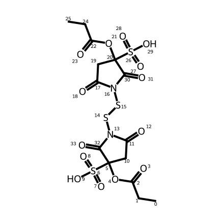 CCC(=O)OC1(S(=O)(=O)O)CC(=O)N(SSN2C(=O)CC(OC(=O)CC)(S(=O)(=O)O)C2=O)C1=O